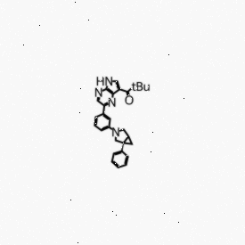 CC(C)(C)C(=O)c1c[nH]c2ncc(-c3cccc(N4CC5C[C@]5(c5ccccc5)C4)c3)nc12